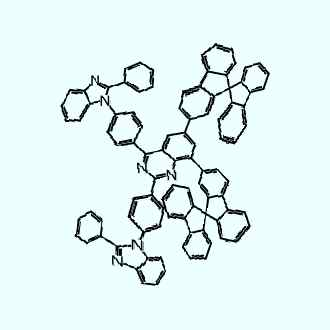 c1ccc(-c2nc3ccccc3n2-c2ccc(-c3nc(-c4ccc(-n5c(-c6ccccc6)nc6ccccc65)cc4)c4cc(-c5ccc6c(c5)C5(c7ccccc7-c7ccccc75)c5ccccc5-6)cc(-c5ccc6c(c5)C5(c7ccccc7-c7ccccc75)c5ccccc5-6)c4n3)cc2)cc1